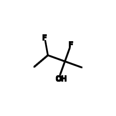 CC(F)C(C)(O)F